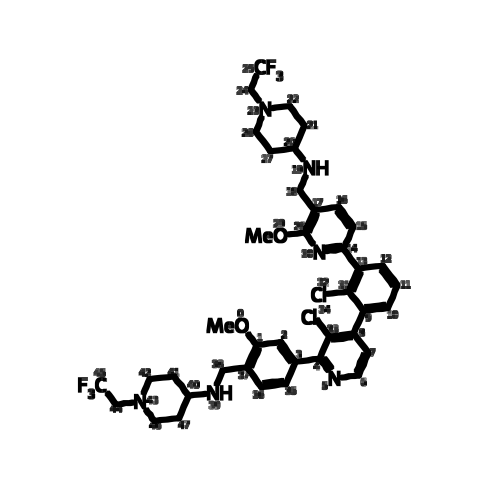 COc1cc(-c2nccc(-c3cccc(-c4ccc(CNC5CCN(CC(F)(F)F)CC5)c(OC)n4)c3Cl)c2Cl)ccc1CNC1CCN(CC(F)(F)F)CC1